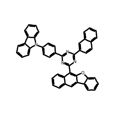 c1ccc2cc(-c3nc(-c4ccc(-n5c6ccccc6c6ccccc65)cc4)nc(-c4c5ccccc5cc5c4oc4ccccc45)n3)ccc2c1